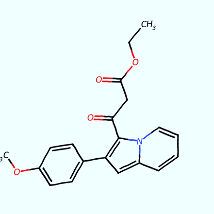 CCOC(=O)CC(=O)c1c(-c2ccc(OC)cc2)cc2ccccn12